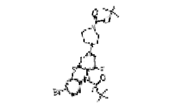 CC(C)(C)OC(=O)N1CCCN(c2cc(F)c3c(c2)Sc2cc(Br)ccc2N3C(=O)OC(C)(C)C)CC1